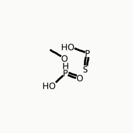 CO[PH](=O)O.OP=S